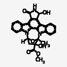 COC(=O)C1(O)C[C@H]2O[C@]1(C)n1c3ccccc3c3c4c(c5c6ccccc6n2c5c31)C(=O)NC4O